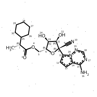 C[C@@H](C(=O)OC[C@H]1O[C@@](C#N)(c2ccc3c(N)ncnn23)[C@H](O)[C@@H]1O)C1CCCCC1